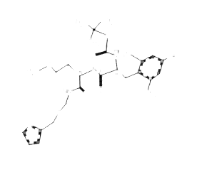 CSCC[C@@H](NC(=O)[C@H](Cc1c(C)cc(O)cc1C)NC(=O)OC(C)(C)C)C(=O)NCCCc1cccs1